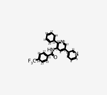 O=C(Nc1cc(-c2cccnc2)cnc1-c1ccccc1)c1ccc(C(F)(F)F)cc1